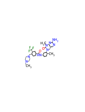 CCN1CCN(Cc2ccc(C(=O)Nc3ccc(C)c(N4Cc5cnc(N)nc5N(C)C4=O)c3)cc2C(F)(F)F)CC1